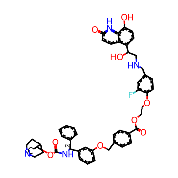 O=C(N[C@@H](c1ccccc1)c1cccc(OCc2ccc(C(=O)OCCOc3ccc(CNCC(O)c4ccc(O)c5[nH]c(=O)ccc45)cc3F)cc2)c1)OC1CN2CCC1CC2